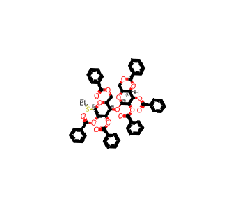 CCS[C@@H]1OC(COC(=O)c2ccccc2)[C@@H](O[C@H]2OC3COC(c4ccccc4)O[C@H]3C(OC(=O)c3ccccc3)C2OC(=O)c2ccccc2)C(OC(=O)c2ccccc2)C1OC(=O)c1ccccc1